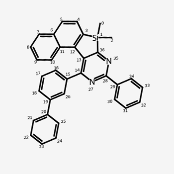 C[Si]1(C)c2ccc3ccccc3c2-c2c(-c3cccc(-c4ccccc4)c3)nc(-c3ccccc3)nc21